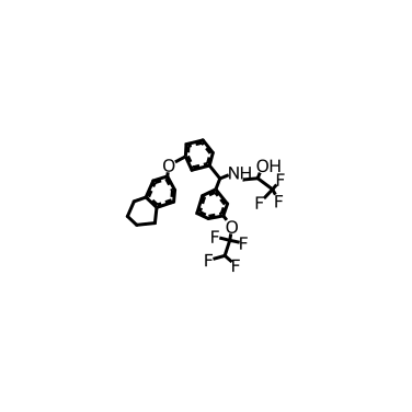 OC(CNC(c1cccc(Oc2ccc3c(c2)CCCC3)c1)c1cccc(OC(F)(F)C(F)F)c1)C(F)(F)F